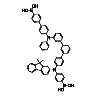 CC1(C)c2ccccc2-c2ccc(N(c3ccc(B(O)O)cc3)c3ccc(-c4cccc(-c5cccc(N(c6ccccc6)c6ccc(-c7ccc(B(O)O)cc7)cc6)c5)c4)cc3)cc21